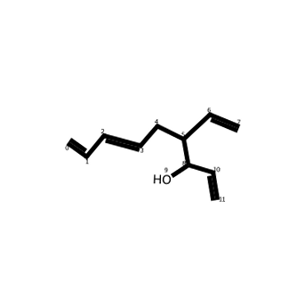 C=C/C=C/CC(C=C)C(O)C=C